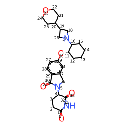 O=C1CCC(N2Cc3cc(O[C@H]4CCCC[C@@H]4N4CC(C5CCOCC5)C4)ccc3C2=O)C(=O)N1